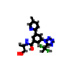 Cc1ccc(-c2cc(C(=O)NC(C)CO)cc(-n3nnnc3C(C)(F)F)c2)nc1